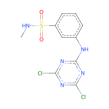 CNS(=O)(=O)c1cccc(Nc2nc(Cl)nc(Cl)n2)c1